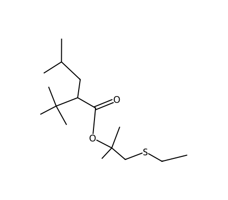 CCSCC(C)(C)OC(=O)C(CC(C)C)C(C)(C)C